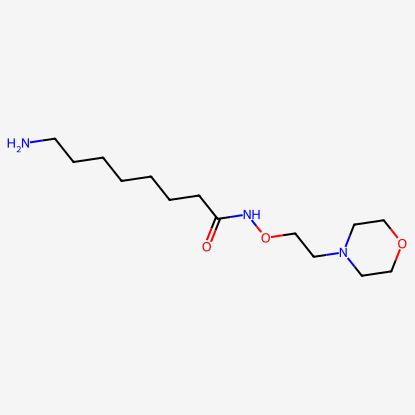 NCCCCCCCC(=O)NOCCN1CCOCC1